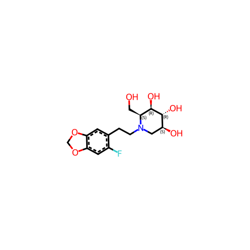 OC[C@H]1[C@@H](O)[C@H](O)[C@@H](O)CN1CCc1cc2c(cc1F)OCO2